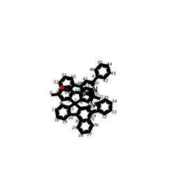 Cc1ccc2c(c1)C1(c3cc(C)ccc3-2)c2ccccc2-c2c1c1c(c3ccccc23)c2ccccc2n1-c1nc(-c2ccccc2)cc(-c2ccccc2)n1